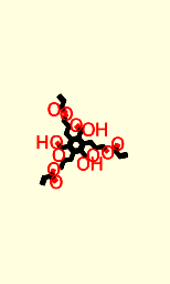 C=CC(=O)OCCCc1c(C(=O)O)c(CCCOC(=O)C=C)c(C(=O)O)c(CCCOC(=O)C=C)c1C(=O)O